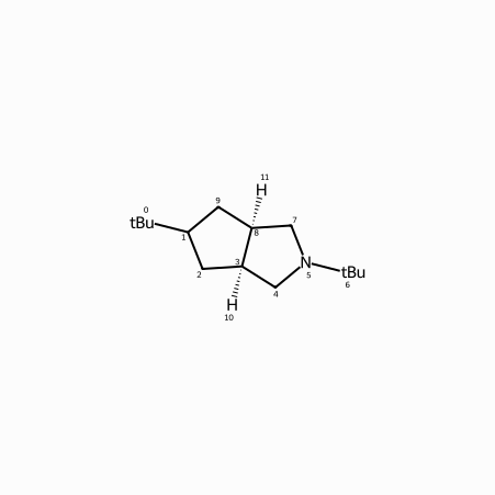 CC(C)(C)C1C[C@@H]2CN(C(C)(C)C)C[C@@H]2C1